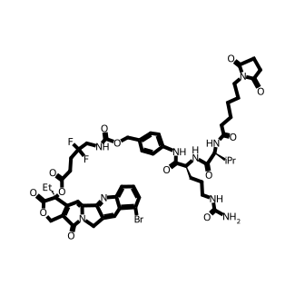 CC[C@@]1(OC(=O)CCC(F)(F)CNC(=O)OCc2ccc(NC(=O)[C@H](CCCNC(N)=O)NC(=O)[C@@H](NC(=O)CCCCCN3C(=O)CCC3=O)C(C)C)cc2)C(=O)OCc2c1cc1n(c2=O)Cc2cc3c(Br)cccc3nc2-1